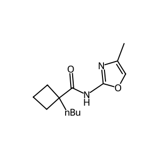 CCCCC1(C(=O)Nc2nc(C)co2)CCC1